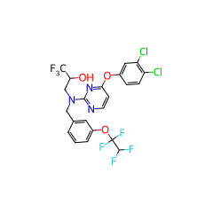 OC(CN(Cc1cccc(OC(F)(F)C(F)F)c1)c1nccc(Oc2ccc(Cl)c(Cl)c2)n1)C(F)(F)F